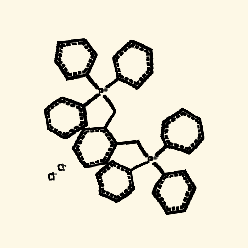 [Cl-].[Cl-].c1ccc([P+](Cc2ccccc2C[P+](c2ccccc2)(c2ccccc2)c2ccccc2)(c2ccccc2)c2ccccc2)cc1